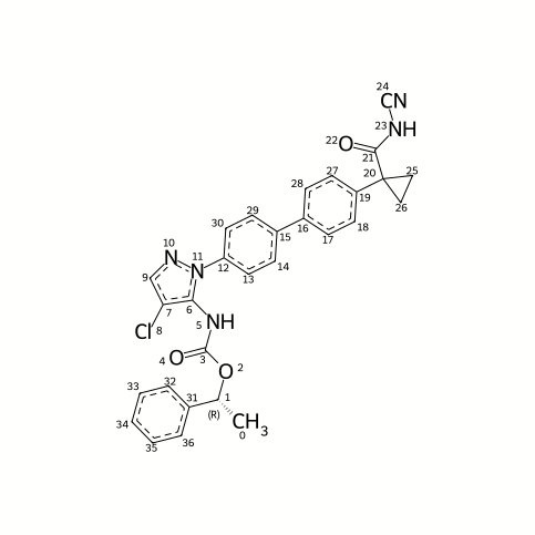 C[C@@H](OC(=O)Nc1c(Cl)cnn1-c1ccc(-c2ccc(C3(C(=O)NC#N)CC3)cc2)cc1)c1ccccc1